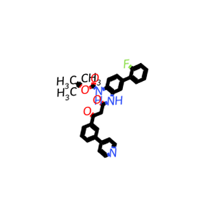 CC(C)(C)OC(=O)Nc1ccc(-c2ccccc2F)cc1NC(=O)CC(=O)c1cccc(-c2ccncc2)c1